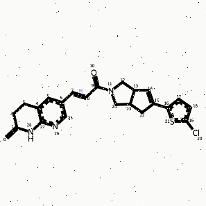 C=C1CCc2cc(/C=C/C(=O)N3CC4C=C(c5ccc(Cl)s5)CC4C3)cnc2N1